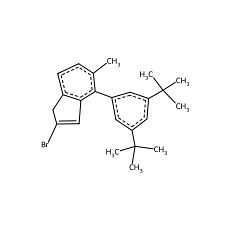 Cc1ccc2c(c1-c1cc(C(C)(C)C)cc(C(C)(C)C)c1)C=C(Br)C2